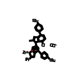 CC1=Cc2c(-c3ccc(C(C)(C)C)cc3)ccc(Cl)c2C1c1cc2c3c(-c4ccc(C(C)(C)C)cc4)c1[Si](C)(C)C3=C(C(C)C)[CH]2[Zr+2].[Cl-].[Cl-]